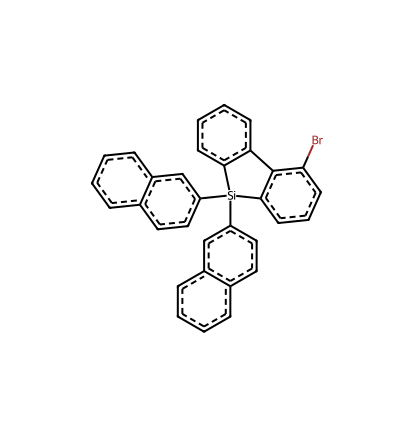 Brc1cccc2c1-c1ccccc1[Si]2(c1ccc2ccccc2c1)c1ccc2ccccc2c1